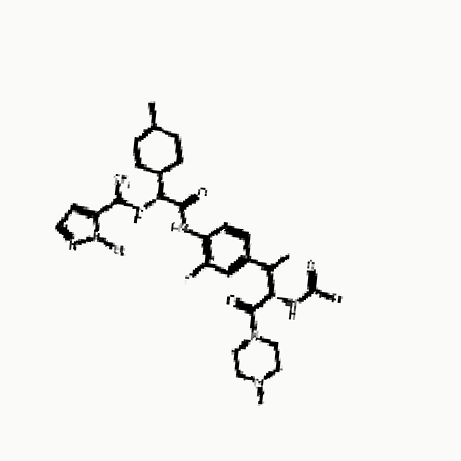 CCC(=O)N[C@@H](C(=O)N1CCN(C)CC1)C(C)c1ccc(NC(=O)[C@@H](NC(c2ccnn2CC)C(F)(F)F)C2CCC(C)CC2)c(F)c1